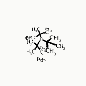 CC(C)(C)P(C(C)(C)C)C(C)(C)C.[Br+].[Pd+]